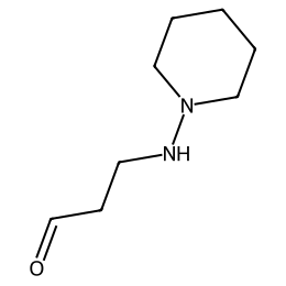 O=CCCNN1CCCCC1